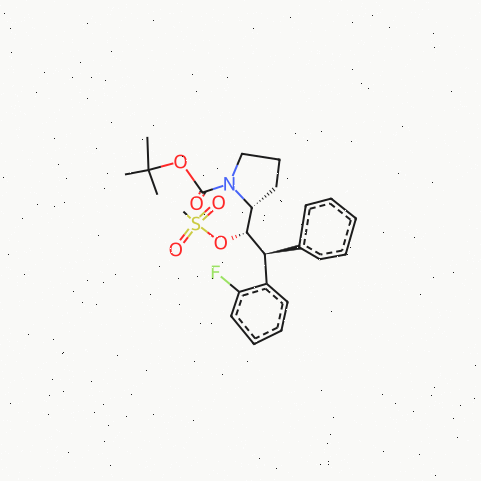 CC(C)(C)OC(=O)N1CCC[C@@H]1[C@@H](OS(C)(=O)=O)[C@@H](c1ccccc1)c1ccccc1F